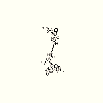 COC1C(OC(=O)N[C@@H](COC(=O)NCCCCCCNC(=O)CNC(=O)[C@H](Cc2ccccc2)NNCC(=O)C(=O)CN)C(C)C)CC[C@]2(CO2)C1C1(C)O[C@@H]1CC=C(C)C